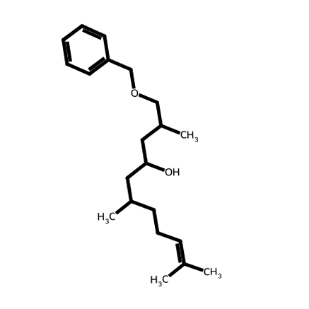 CC(C)=CCCC(C)CC(O)CC(C)COCc1ccccc1